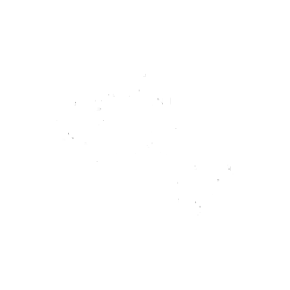 CC(=O)C1=C(C)NC(C)=C(C(=O)OCc2cncc(Br)c2)C1c1csc2ncccc12